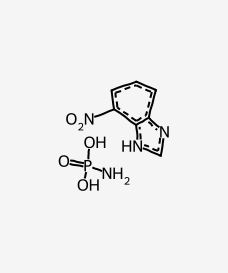 NP(=O)(O)O.O=[N+]([O-])c1cccc2nc[nH]c12